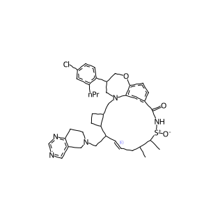 CCCc1cc(Cl)ccc1C1COc2ccc3cc2N(C1)CC1CCC1C(CN1CCc2ncncc2C1)/C=C/CC(C)C(C)[S+]([O-])NC3=O